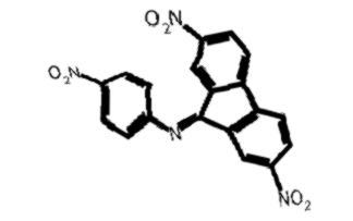 O=[N+]([O-])c1ccc(N=C2c3cc([N+](=O)[O-])ccc3-c3ccc([N+](=O)[O-])cc32)cc1